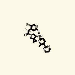 COc1cc([C@@H](C)C(=O)N2C[C@@H](Nc3ccc(-c4ncccn4)c(C)n3)C3(CC3)C2)c(Br)cn1